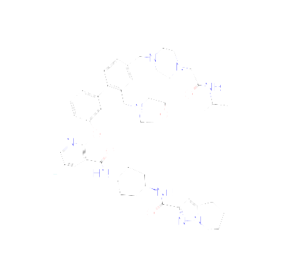 CC(C)NC(=O)CN1CCN(Cc2ccc(-c3cccc(Oc4ncc(F)cc4C(=O)N[C@H]4CC[C@H](NC(=O)c5cc6n(n5)CCCC6)CC4)c3)c(CN3CCOCC3)c2)CC1